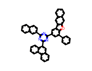 c1ccc(-c2cc(-c3nc(-c4ccc5ccccc5c4)nc(-c4cc5ccccc5c5ccccc45)n3)cc3c2oc2cc4ccccc4cc23)cc1